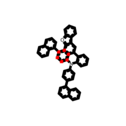 c1ccc(N(c2ccc(-c3cccc4ccccc34)cc2)c2ccc(-c3cccc4ccccc34)cc2)c(-c2cc3c4ccccc4oc3c3ccccc23)c1